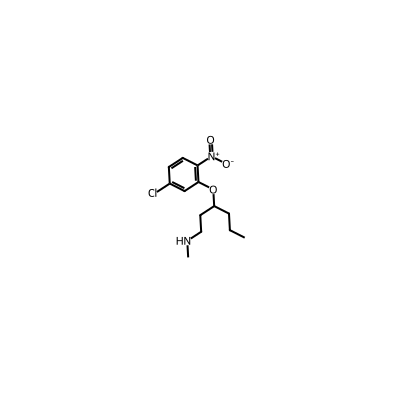 CCCC(CCNC)Oc1cc(Cl)ccc1[N+](=O)[O-]